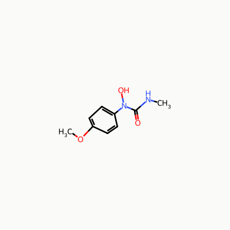 CNC(=O)N(O)c1ccc(OC)cc1